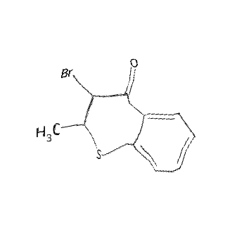 CC1Sc2ccccc2C(=O)C1Br